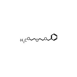 [CH2]OCCOCCOCc1ccccc1